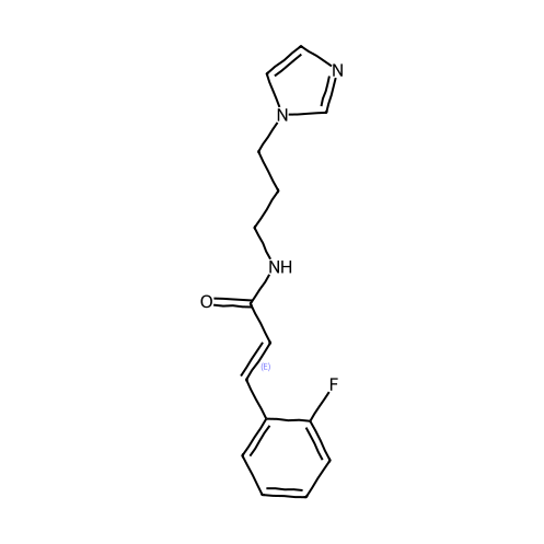 O=C(/C=C/c1ccccc1F)NCCCn1ccnc1